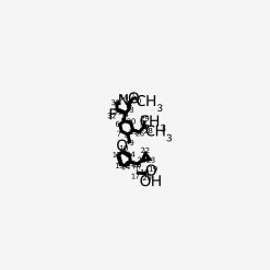 COc1cc(C2CCC(COc3cccc([C@@H](CC(=O)O)C4CC4)c3)C(CC(C)C)C2)c(F)cn1